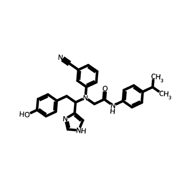 CC(C)c1ccc(NC(=O)CN(c2cccc(C#N)c2)C(Cc2ccc(O)cc2)c2c[nH]cn2)cc1